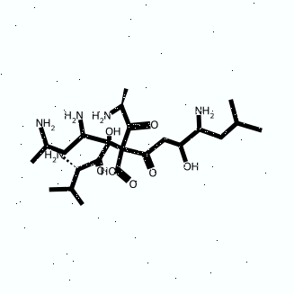 CC(C)CC(N)C(O)CC(=O)C(C(=O)O)(C(=O)[C@H](C)N)C(O)(C(=O)[C@@H](N)C(C)C)C(N)CC(C)N